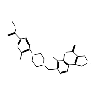 CNC(=O)c1ccc(N2CCN(Cc3ccc4c5c(c(=O)[nH]c4c3F)COC5)CC2)c(C)n1